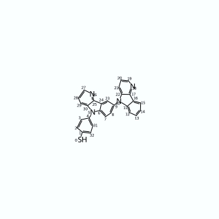 Sc1ccc(-n2c3ccc(-n4c5ccccc5c5ncccc54)cc3c3ncccc32)cc1